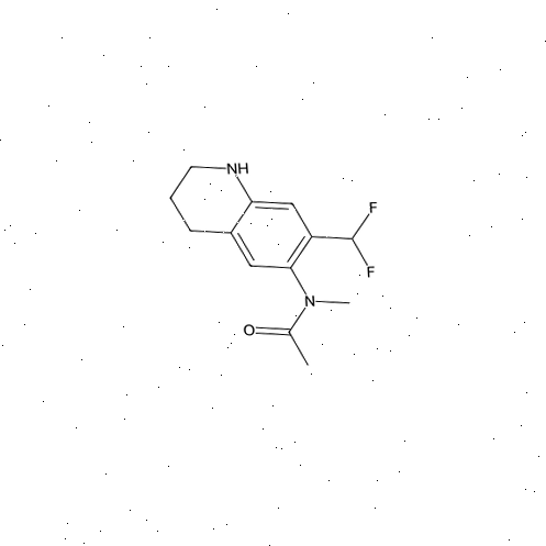 CC(=O)N(C)c1cc2c(cc1C(F)F)NCCC2